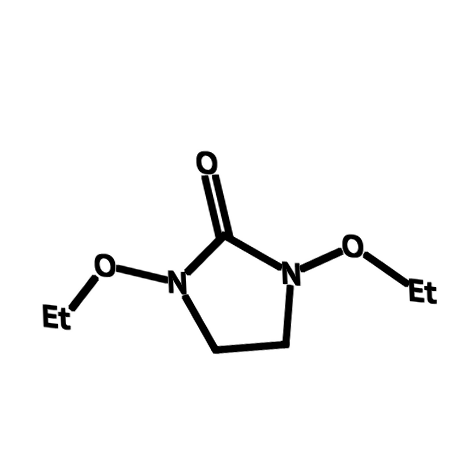 CCON1CCN(OCC)C1=O